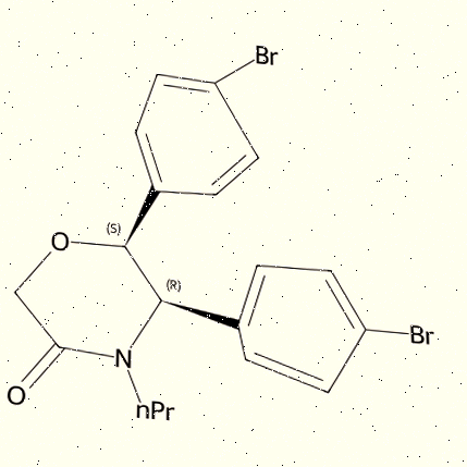 CCCN1C(=O)CO[C@@H](c2ccc(Br)cc2)[C@H]1c1ccc(Br)cc1